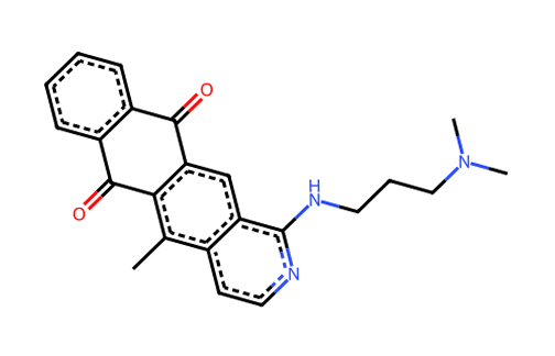 Cc1c2c(cc3c(NCCCN(C)C)nccc13)C(=O)c1ccccc1C2=O